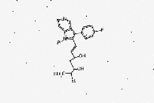 CCC(C(=O)O)C(O)CC(O)/C=C/c1c(-c2ccc(F)cc2)c2cnccc2n1C(C)C